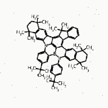 CC(C)(C)c1ccc(N2B3c4cc(C(C)(C)C)ccc4-n4c5cc6c(cc5c5c7c(c(c3c54)-c3cc4c(cc32)C(C)(C)CCC4(C)C)-c2ccccc2C7(C)C)C(C)(C)CCC6(C)C)cc1